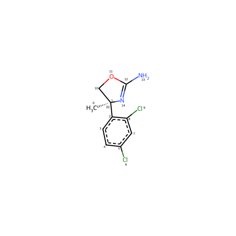 C[C@]1(c2ccc(Cl)cc2Cl)COC(N)=N1